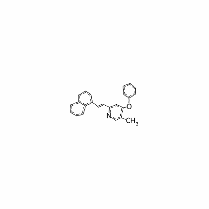 Cc1cnc(C=Cc2cccc3ccccc23)cc1Oc1ccccc1